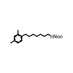 CCCCCCCCCCCCCCCCc1ccc(C)cc1C